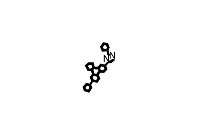 c1ccc(-c2ccc3c4ccc(-c5ccnc(-c6ccccc6)n5)cc4c4ccccc4c3c2)cc1